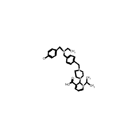 CCN(Cc1ccc(Cl)cc1)Cc1ccc(CN2CCN(C3C(C(=O)O)=CC=CN3C(C)C)CC2)cc1